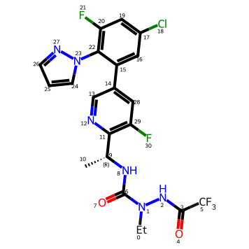 CCN(NC(=O)C(F)(F)F)C(=O)N[C@H](C)c1ncc(-c2cc(Cl)cc(F)c2-n2cccn2)cc1F